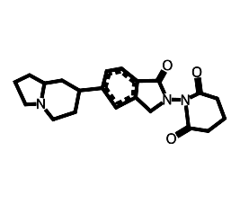 O=C1c2ccc(C3CCN4CCCC4C3)cc2CN1N1C(=O)CCCC1=O